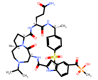 CC(C)N1CC[C@H]2CC[C@@H](C(=O)N[C@@H](CCC(N)=O)C(=O)N[C@H](C)c3ccc(S(C)(=O)=O)cc3)N2C(=O)[C@@H](NC(=O)c2cc3cc(C(=O)P(C)(=O)O)ccc3[nH]2)C1